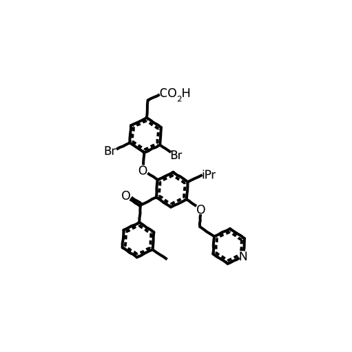 Cc1cccc(C(=O)c2cc(OCc3ccncc3)c(C(C)C)cc2Oc2c(Br)cc(CC(=O)O)cc2Br)c1